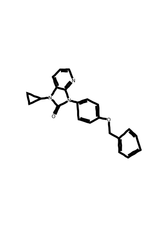 O=c1n(-c2ccc(OCc3ccccc3)cc2)c2ncccc2n1C1CC1